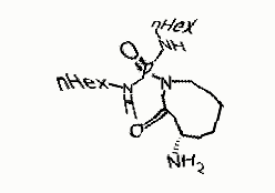 CCCCCCNP(=O)(NCCCCCC)N1CCC[C@H](N)C1=O